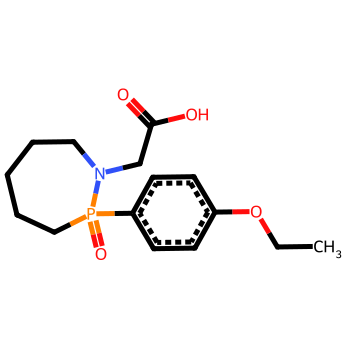 CCOc1ccc(P2(=O)CCCCCN2CC(=O)O)cc1